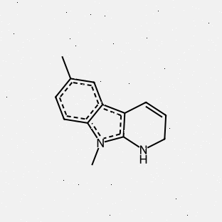 Cc1ccc2c(c1)c1c(n2C)NCC=C1